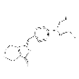 CCOC(OCC)c1ccc(C=C2OC(=O)C3=C2CCCC3)cc1